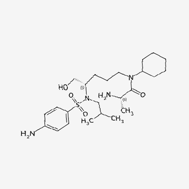 CC(C)CN([C@H](CO)CCCN(C(=O)[C@H](C)N)C1CCCCC1)S(=O)(=O)c1ccc(N)cc1